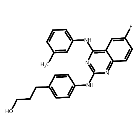 Cc1cccc(Nc2nc(Nc3ccc(CCCO)cc3)nc3ccc(F)cc23)c1